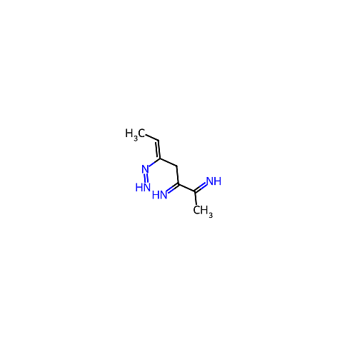 C/C=C(/CC(=N)C(C)=N)N=N